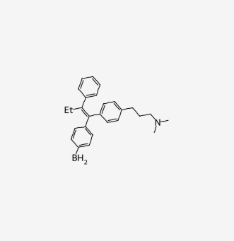 Bc1ccc(/C(=C(\CC)c2ccccc2)c2ccc(CCCN(C)C)cc2)cc1